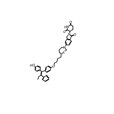 CCC(=C(c1ccc(O)cc1)c1ccc(OCCCCN2CCCN(c3ccc4c(c3)CN(C3CCC(=O)NC3=O)C4=O)CC2)cc1)c1ccccc1